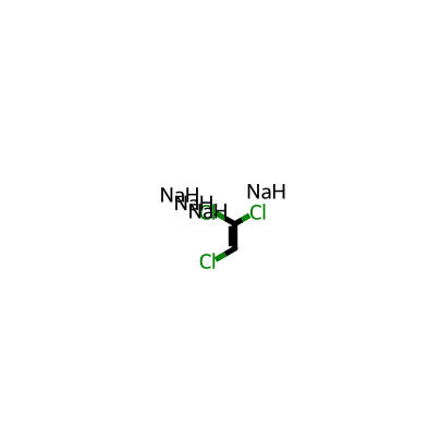 ClC=C(Cl)Cl.[NaH].[NaH].[NaH].[NaH]